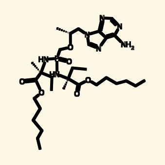 CCCCCCOC(=O)[C@](C)(CC)NP(=O)(CO[C@H](C)Cn1cnc2c(N)ncnc21)N[C@@](C)(CC)C(=O)OCCCCCC